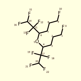 FCCCC(OC(CCCF)C(F)(F)C(F)F)C(F)(F)C(F)F